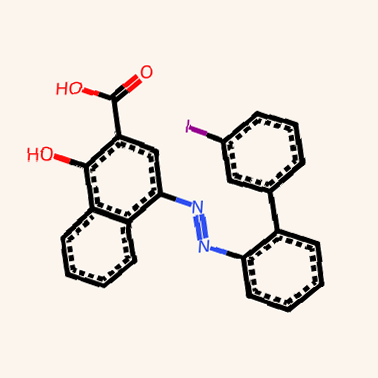 O=C(O)c1cc(N=Nc2ccccc2-c2cccc(I)c2)c2ccccc2c1O